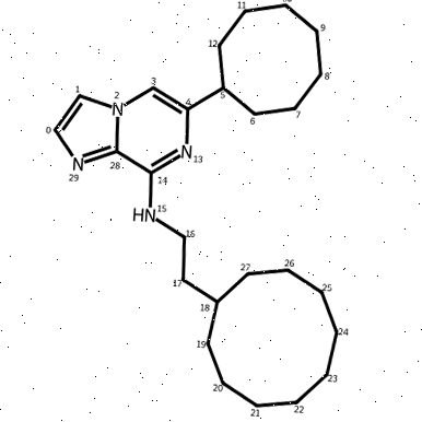 c1cn2cc(C3CCCCCCC3)nc(NCCC3CCCCCCCCC3)c2n1